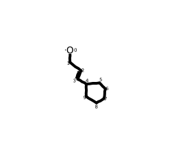 [O]C/C=C/C1CCCCC1